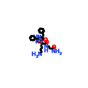 NCCCC[C@H](NC(=O)[C@H](Cc1ccccc1)NC(=O)c1ccccc1)C(=O)NCCC(N)=O